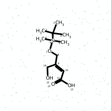 CC(C)(C)[Si](C)(C)OCC(=CC(=O)O)CO